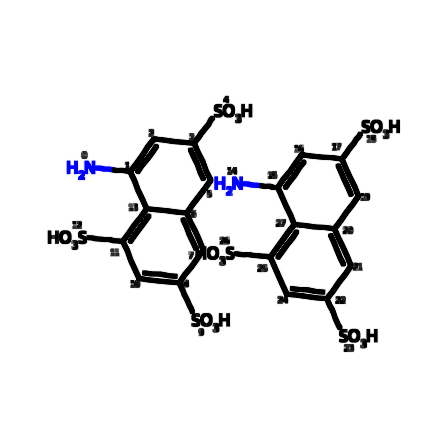 Nc1cc(S(=O)(=O)O)cc2cc(S(=O)(=O)O)cc(S(=O)(=O)O)c12.Nc1cc(S(=O)(=O)O)cc2cc(S(=O)(=O)O)cc(S(=O)(=O)O)c12